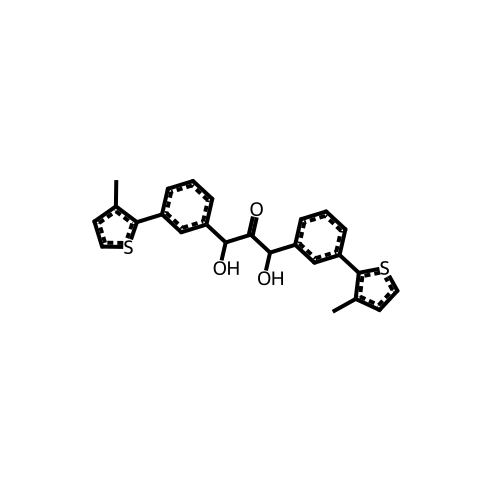 Cc1ccsc1-c1cccc(C(O)C(=O)C(O)c2cccc(-c3sccc3C)c2)c1